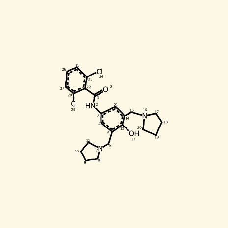 O=C(Nc1cc(CN2CCCC2)c(O)c(CN2CCCC2)c1)c1c(Cl)cccc1Cl